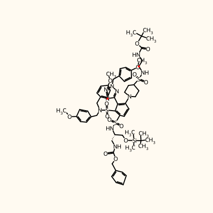 COc1ccc(CN(Cc2ccc(OC)cc2)S(=O)(=O)c2c(S(=O)(=O)N[C@@H](CNC(=O)OCc3ccccc3)CO[Si](C)(C)C(C)(C)C)ccc(N3CCC(S(=O)(=O)NCCNC(=O)OC(C)(C)C)CC3)c2-c2nnn(Cc3ccc(OC)cc3)n2)cc1